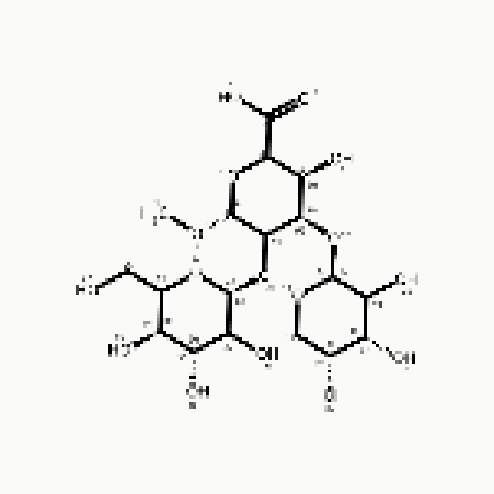 CO[C@@H]1OC(C(=O)O)[C@@H](O)[C@@H](O[C@@H]2OC[C@@H](O)[C@@H](O)C2O)C1O[C@@H]1OC(CO)[C@H](O)[C@@H](O)C1O